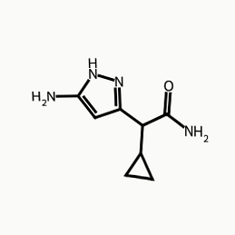 NC(=O)C(c1cc(N)[nH]n1)C1CC1